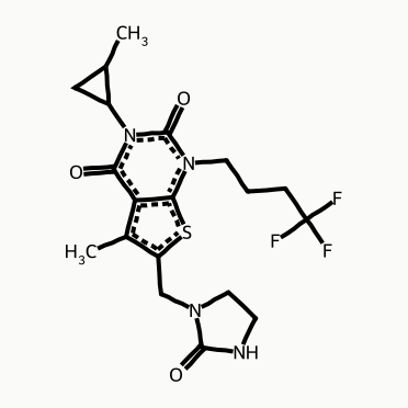 Cc1c(CN2CCNC2=O)sc2c1c(=O)n(C1CC1C)c(=O)n2CCCC(F)(F)F